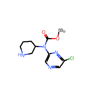 CC(C)(C)OC(=O)N(c1cncc(Cl)n1)C1CCCNC1